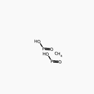 C.O=PO.O=PO